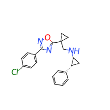 Clc1ccc(-c2noc(C3(CNC4C[C@@H]4c4ccccc4)CC3)n2)cc1